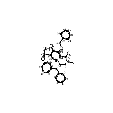 CN1C[C@H](C(c2ccccc2)c2ccccc2)n2cc(C(=O)O)c(=O)c(OCc3ccccc3)c2C1=O